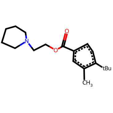 Cc1cc(C(=O)OCCN2CCCCC2)ccc1C(C)(C)C